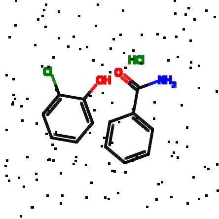 Cl.NC(=O)c1ccccc1.Oc1ccccc1Cl